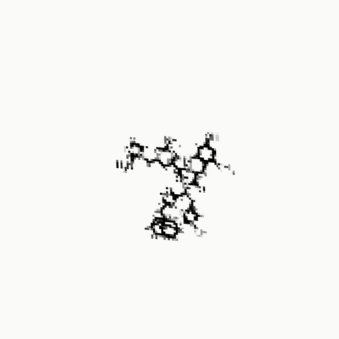 Cc1cc(O)cc(C)c1CC(NC(=O)C(CCCn1ccnc1N)OC(N)=O)C(=O)N[C@@H](Cc1cn(C)cn1)c1nc(CC23CC4CC(CC(C4)C2)C3)no1